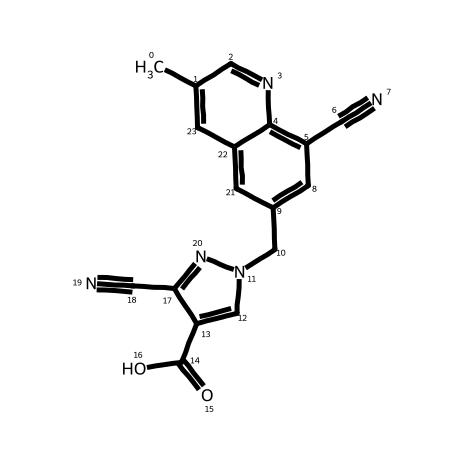 Cc1cnc2c(C#N)cc(Cn3cc(C(=O)O)c(C#N)n3)cc2c1